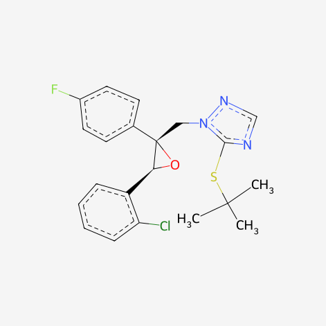 CC(C)(C)Sc1ncnn1C[C@@]1(c2ccc(F)cc2)O[C@H]1c1ccccc1Cl